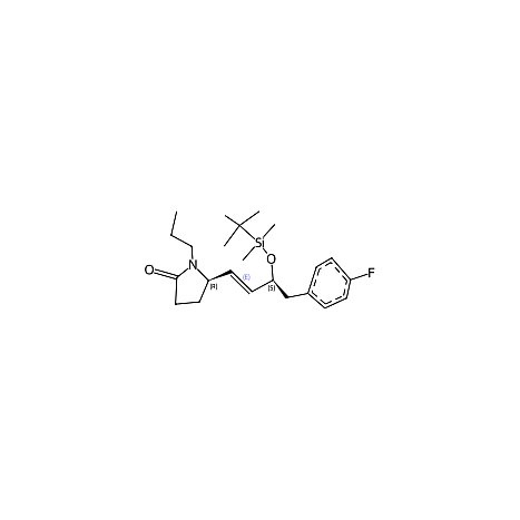 CCCN1C(=O)CC[C@@H]1/C=C/[C@H](Cc1ccc(F)cc1)O[Si](C)(C)C(C)(C)C